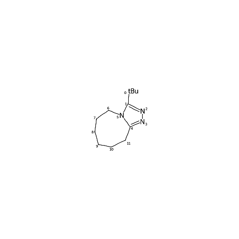 CC(C)(C)c1nnc2n1CCCCCC2